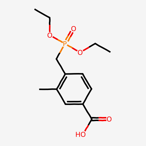 CCOP(=O)(Cc1ccc(C(=O)O)cc1C)OCC